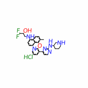 Cc1ccc2c(NCC(O)C(F)F)cccc2c1Oc1ncccc1-c1ccnc(NC2CCCNC2)n1.Cl